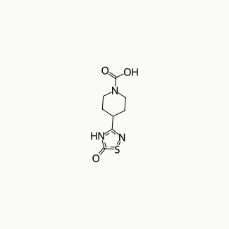 O=C(O)N1CCC(c2nsc(=O)[nH]2)CC1